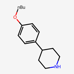 CCCCOc1ccc(C2CCNCC2)cc1